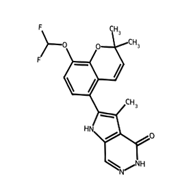 Cc1c(-c2ccc(OC(F)F)c3c2C=CC(C)(C)O3)[nH]c2cn[nH]c(=O)c12